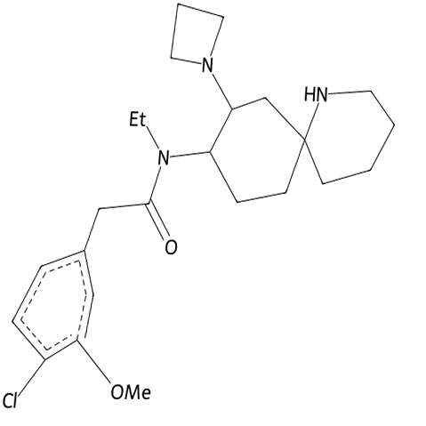 CCN(C(=O)Cc1ccc(Cl)c(OC)c1)C1CCC2(CCCCN2)CC1N1CCC1